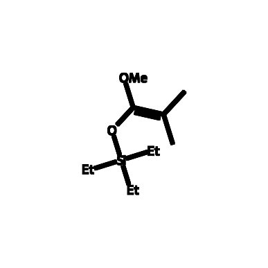 CC[Si](CC)(CC)OC(OC)=C(C)C